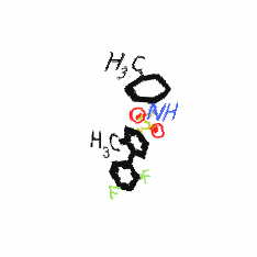 Cc1cc(S(=O)(=O)N[C@H]2CC[C@@H](C)CC2)ccc1-c1ccc(F)cc1F